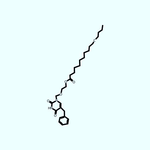 CCCCCCCCCCCCCCCC(=O)OCCOCn1cc(Cc2ccccc2)c(=O)[nH]c1=O